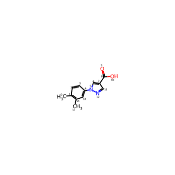 Cc1ccc(-n2cc(C(=O)O)cn2)cc1C